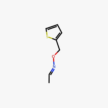 CC=NOCc1cccs1